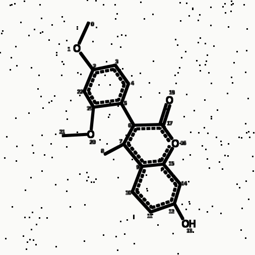 COc1ccc(-c2c(C)c3ccc(O)cc3oc2=O)c(OC)c1